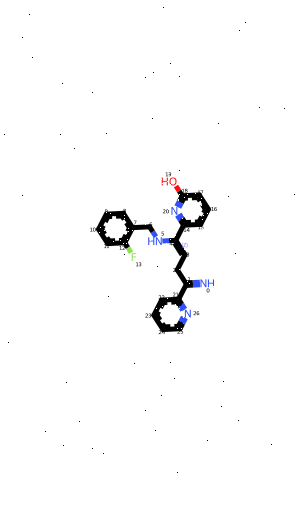 N=C(C/C=C(\NCc1ccccc1F)c1cccc(O)n1)c1ccccn1